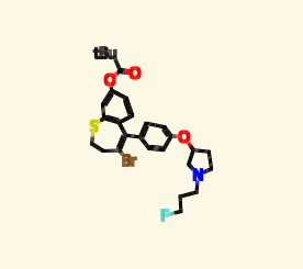 CC(C)(C)C(=O)Oc1ccc2c(c1)SCCC(Br)=C2c1ccc(OC2CCN(CCCF)C2)cc1